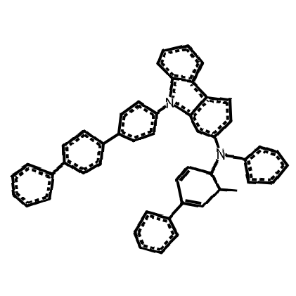 CC1C=C(c2ccccc2)C=CC1N(c1ccccc1)c1ccc2c3ccccc3n(-c3ccc(-c4ccc(-c5ccccc5)cc4)cc3)c2c1